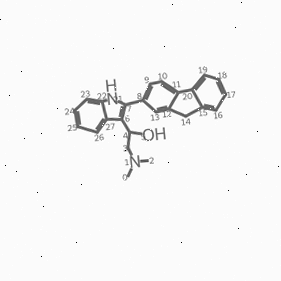 CN(C)CC(O)c1c(-c2ccc3c(c2)Cc2ccccc2-3)[nH]c2ccccc12